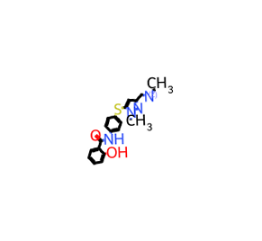 C/C=N\Cc1cc(Sc2ccc(NC(=O)c3ccccc3O)cc2)n(C)n1